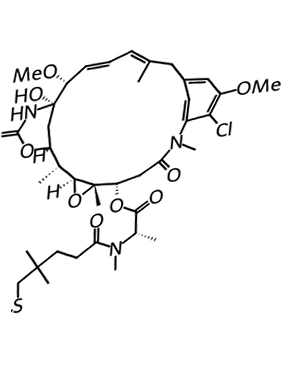 COc1cc2cc(c1Cl)N(C)C(=O)C[C@H](OC(=O)[C@H](C)N(C)C(=O)CCC(C)(C)CSS)[C@]1(C)O[C@H]1[C@H](C)[C@@H]1C[C@@](O)(NC(=O)O1)[C@H](OC)/C=C/C=C(\C)C2